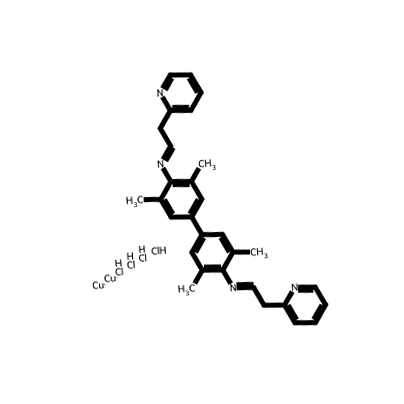 Cc1cc(-c2cc(C)c(N=CCc3ccccn3)c(C)c2)cc(C)c1N=CCc1ccccn1.Cl.Cl.Cl.Cl.[Cu].[Cu]